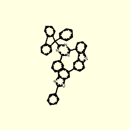 c1ccc(-c2nc(-c3cccc4sc5ccc(-c6ccc7nc(-c8ccccc8)oc7c6)cc5c34)nc(C3(c4ccccc4)c4ccccc4-c4ccccc43)n2)cc1